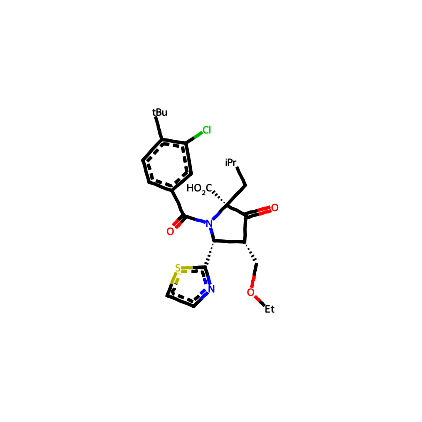 CCOC[C@H]1C(=O)[C@@](CC(C)C)(C(=O)O)N(C(=O)c2ccc(C(C)(C)C)c(Cl)c2)[C@H]1c1nccs1